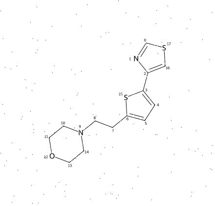 c1nc(-c2ccc(CCN3CCOCC3)s2)cs1